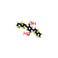 OCc1cc(-c2cc3sc4ccsc4c3s2)c(CO)cc1-c1cc2sc3ccsc3c2s1